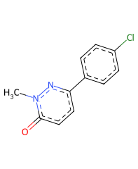 Cn1nc(-c2ccc(Cl)cc2)ccc1=O